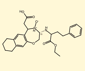 CCOC(=O)C(CCc1ccccc1)N[C@@H]1COc2cc3c(cc2C(CC(=O)O)[NH+]1[O-])CCCC3